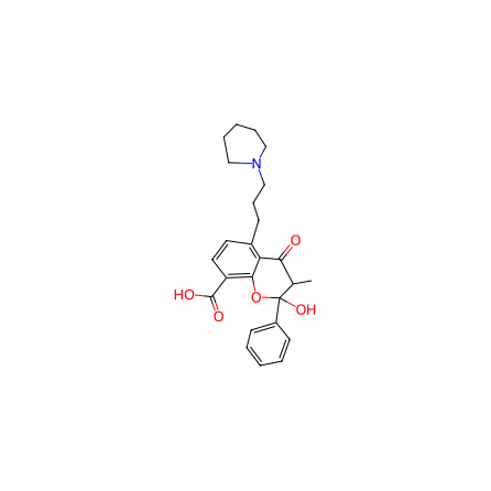 CC1C(=O)c2c(CCCN3CCCCC3)ccc(C(=O)O)c2OC1(O)c1ccccc1